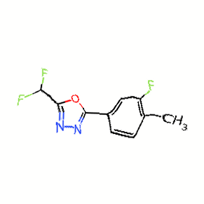 Cc1ccc(-c2nnc(C(F)F)o2)cc1F